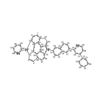 C1=CC2c3c4c(ccc5c4c4c(n(-c6ccc7cc(-c8cc(-c9ccccc9)ccn8)ccc7c6)c6ccc1c3c46)=CC5)N2c1ccccn1